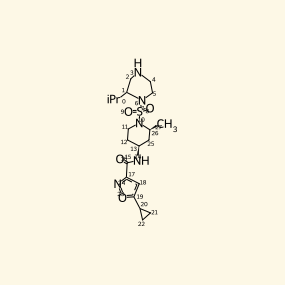 CC(C)C1CNCCN1S(=O)(=O)N1CC[C@H](NC(=O)c2cc(C3CC3)on2)C[C@@H]1C